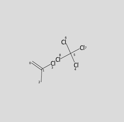 C=C(C)Cl.ClC(Cl)(Cl)Cl